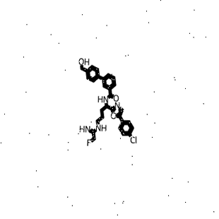 N=C(CF)NCCCC(NC(=O)c1cccc(-c2ccc(CO)cc2)c1)c1ncc(-c2ccc(Cl)cc2)o1